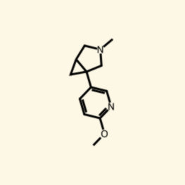 COc1ccc(C23CC2CN(C)C3)cn1